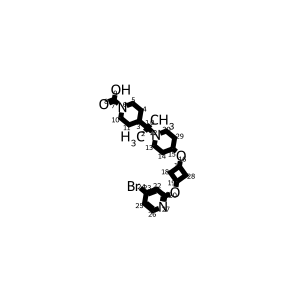 CC(C)(C1CCN(C(=O)O)CC1)N1CCC(OC2CC(Oc3cc(Br)ccn3)C2)CC1